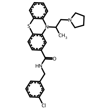 CC(CN1CCCC1)N1c2ccccc2Sc2ccc(C(=O)NCc3cccc(Cl)c3)cc21